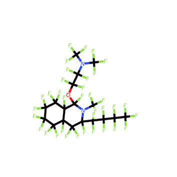 FC(F)(F)N(C(F)(F)F)C(F)(F)C(F)(F)OC1(F)N(C(F)(F)F)C(F)(C(F)(F)C(F)(F)C(F)(F)C(F)(F)F)C(F)(F)C2(F)C(F)(F)C(F)(F)C(F)(F)C(F)(F)C12F